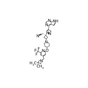 CC1(C)CN(Cc2cc(OC3CCN([C@H]4C[C@@](CC#N)(n5cc(-c6ncnc7[nH]ccc67)cn5)C4)CC3)nc(C(F)(F)F)c2)C1